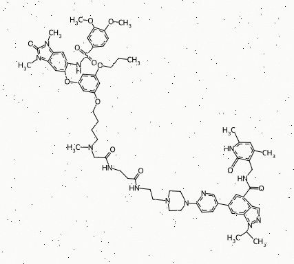 CCCOc1cc(OCCCCN(C)CC(=O)NCCC(=O)NCCN2CCN(c3ccc(-c4cc(C(=O)NCc5c(C)cc(C)[nH]c5=O)c5cnn(C(C)C)c5c4)cn3)CC2)cc(Oc2cc3c(cc2NS(=O)(=O)c2ccc(OC)c(OC)c2)n(C)c(=O)n3C)c1